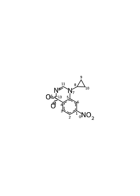 O=[N+]([O-])c1ccc2c(c1)N(C1CC1)C=NS2(=O)=O